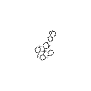 Fc1ccccc1[B-](c1ccccc1F)(c1ccccc1F)c1ccccc1F.c1ccc2[o+]cccc2c1